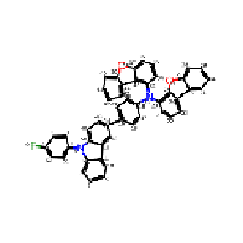 Fc1ccc(-n2c3ccccc3c3cc(-c4ccc(N(c5cccc6c5oc5ccccc56)c5cccc6oc7ccccc7c56)cc4)ccc32)cc1